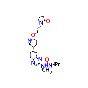 CC(C)NC(=O)N(C)c1cnc2ccc(-c3ccc(OCCCN4CCCC4=O)nc3)cc2n1